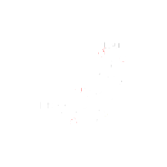 CCOC(=O)C(=O)C1CSc2ccc(C(=O)OC(C)(C)C)cc2C1=O